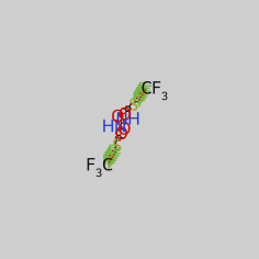 Cc1cc(CSCCC(F)(F)C(F)(F)C(F)(F)C(F)(F)C(F)(F)C(F)(F)F)cc(C)c1OC(C)C(=O)NCCNC(=O)C(C)Oc1c(C)cc(CSCCC(F)(F)C(F)(F)C(F)(F)C(F)(F)C(F)(F)C(F)(F)F)cc1C